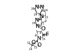 Cc1c(OC2CCN(C(=O)OC(C)(C)C)C[C@@H]2F)ncnc1N1CCc2nnccc21